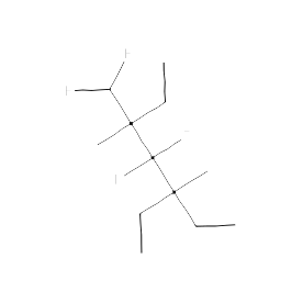 CCC(C)(CC)C(F)(F)C(C)(CC)C(F)F